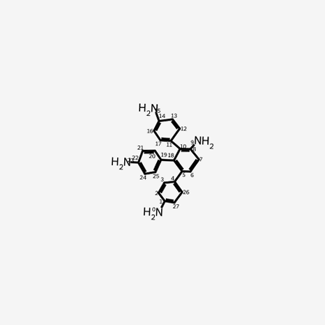 Nc1ccc(-c2ccc(N)c(-c3ccc(N)cc3)c2-c2ccc(N)cc2)cc1